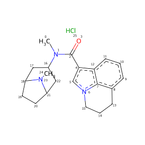 CN(C(=O)c1cn2c3c(cccc13)CCC2)C1CC2CCC(C1)N2C.Cl